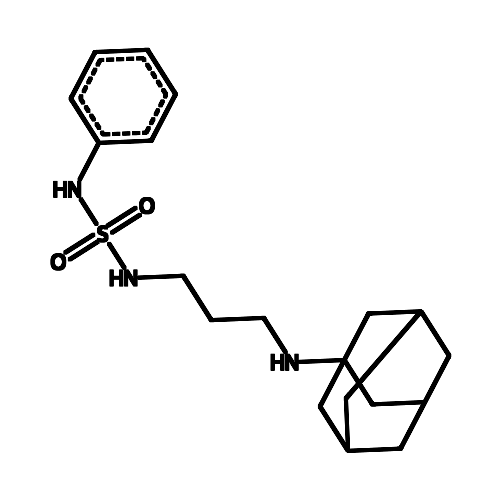 O=S(=O)(NCCCNC12CC3CC(CC(C3)C1)C2)Nc1ccccc1